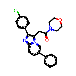 O=C(Cc1c(-c2ccc(Cl)cc2)nc2ccc(-c3ccccc3)cn12)N1CCOCC1